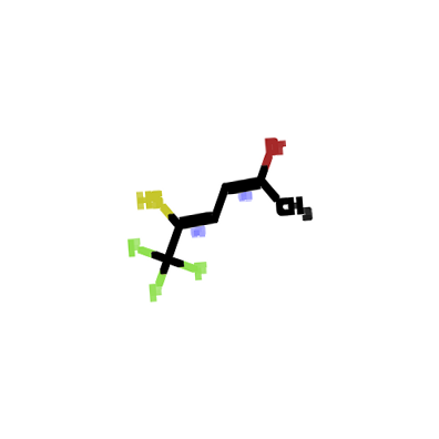 C/C(Br)=C\C=C(/S)C(F)(F)F